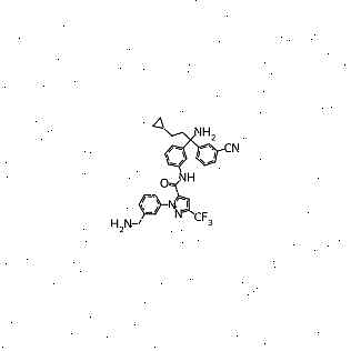 N#Cc1cccc(C(N)(CCC2CC2)c2cccc(NC(=O)c3cc(C(F)(F)F)nn3-c3cccc(CN)c3)c2)c1